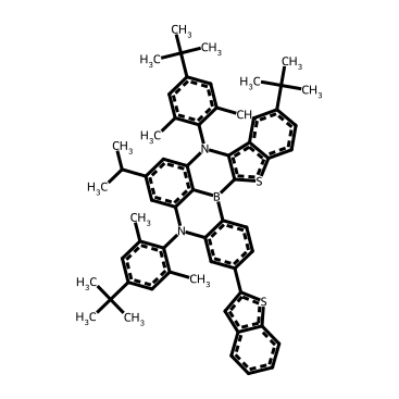 Cc1cc(C(C)(C)C)cc(C)c1N1c2cc(-c3cc4ccccc4s3)ccc2B2c3sc4ccc(C(C)(C)C)cc4c3N(c3c(C)cc(C(C)(C)C)cc3C)c3cc(C(C)C)cc1c32